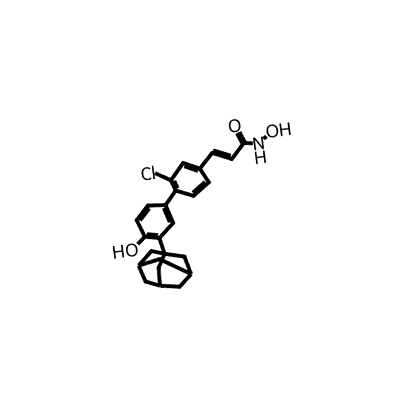 O=C(C=Cc1ccc(-c2ccc(O)c(C34CC5CC(CC(C5)C3)C4)c2)c(Cl)c1)NO